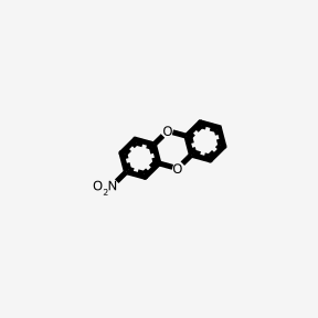 O=[N+]([O-])c1ccc2c(c1)Oc1ccccc1O2